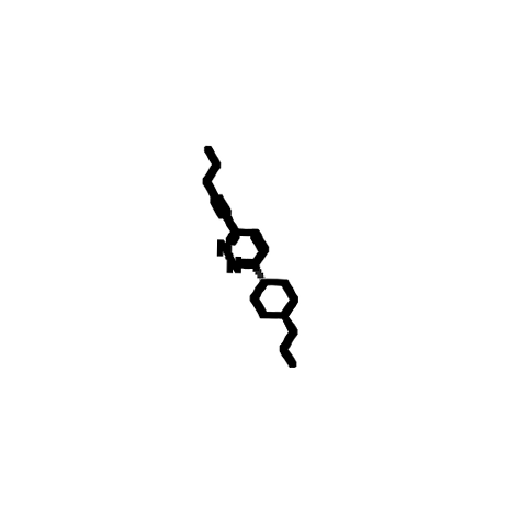 CCCC#Cc1ccc([C@H]2CC[C@H](CCC)CC2)nn1